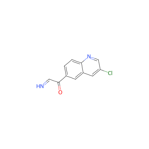 N=CC(=O)c1ccc2ncc(Cl)cc2c1